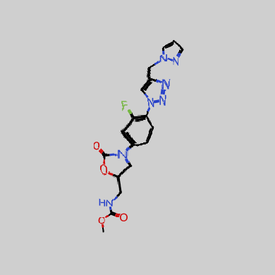 COC(=O)NCC1CN(c2ccc(-n3cc(Cn4cccn4)nn3)c(F)c2)C(=O)O1